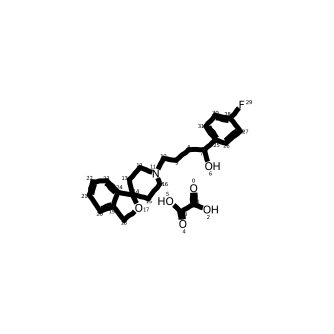 O=C(O)C(=O)O.OC(CCCN1CCC2(CC1)OCc1ccccc12)c1ccc(F)cc1